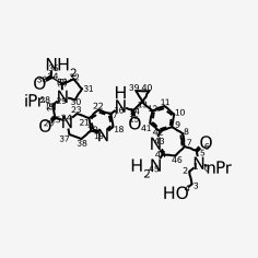 CCCN(CCO)C(=O)C1=Cc2ccc(C3(C(=O)Nc4cnc5c(c4)CN(C(=O)[C@H](C(C)C)N4CCC[C@@H]4C(N)=O)CC5)CC3)cc2N=C(N)C1